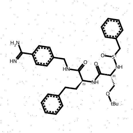 CC(C)(C)OC[C@@H](N[S+]([O-])Cc1ccccc1)C(=O)N[C@@H](CCc1ccccc1)C(=O)NCc1ccc(C(=N)N)cc1